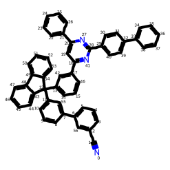 N#Cc1cccc(-c2cccc(C3(c4cccc(-c5cc(-c6ccccc6)nc(-c6ccc(-c7ccccc7)cc6)n5)c4)c4ccccc4-c4ccccc43)c2)c1